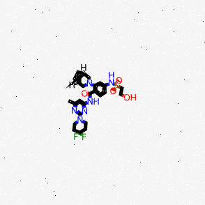 Cc1cc(NC(=O)c2ccc(NS(=O)(=O)CCO)cc2N2C[C@H]3CC[C@@H](C2)C32CC2)nc(N2CCC(F)(F)CC2)n1